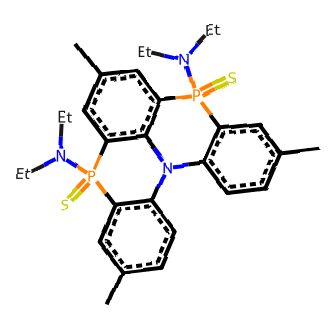 CCN(CC)P1(=S)c2cc(C)ccc2N2c3ccc(C)cc3P(=S)(N(CC)CC)c3cc(C)cc1c32